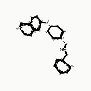 c1ccc(CNC[C@H]2CC[C@@H](Oc3ccc4cnccc4c3)CC2)cc1